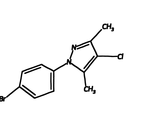 Cc1nn(-c2ccc(Br)cc2)c(C)c1Cl